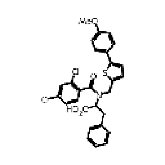 COc1ccc(-c2ccc(CN(C(=O)c3ccc(Cl)cc3Cl)[C@@H](Cc3ccccc3)C(=O)O)s2)cc1